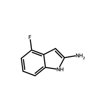 Nc1cc2c(F)cccc2[nH]1